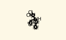 Clc1ccc(C2=C(CN3CCOCC3)N3C=C(c4ccccc4)C=CC3N2)cc1Cl